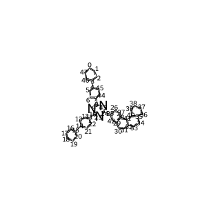 c1ccc(-c2ccc(-c3nc(-c4ccc(-c5ccccc5)cc4)nc(-c4ccc5c(ccc6ccc7ccccc7c65)c4)n3)cc2)cc1